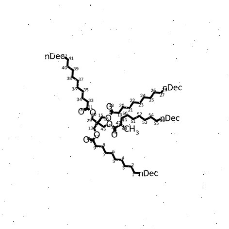 CCCCCCCCCCCCCCCCCCCC(=O)OCC(COC(=O)CCCCCCCCCCCCCCCCCCC)(COC(=O)CCCCCCCCCCCCCCCCCCC)COC(=O)C(C)CCCCCCCCCCCCCCCCC